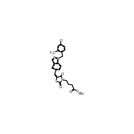 CC(C)(C)OC(=O)CCCN1C(=O)S/C(=C/c2ccc3c(cnn3Cc3ccc(Cl)cc3C(F)(F)F)c2)C1=O